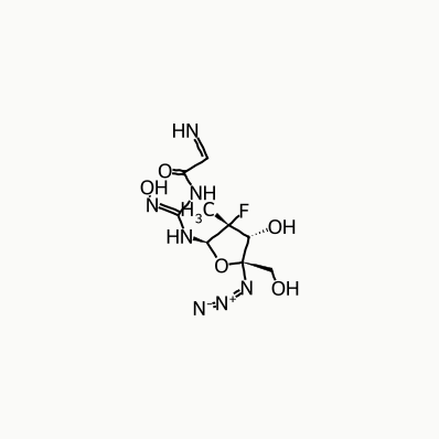 C[C@]1(F)[C@H](N/C(=N/O)NC(=O)C=N)O[C@@](CO)(N=[N+]=[N-])[C@H]1O